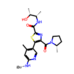 CC[C@@H](C)Nc1cc(C)c(-c2sc(C(=O)N[C@@H](C)[C@@H](C)O)nc2C(=O)N2CCC[C@@H]2C)cn1